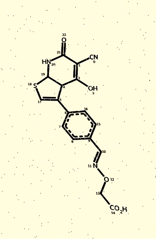 N#CC1=C(O)C2C(c3ccc(/C=N/OCC(=O)O)cc3)=CSC2NC1=O